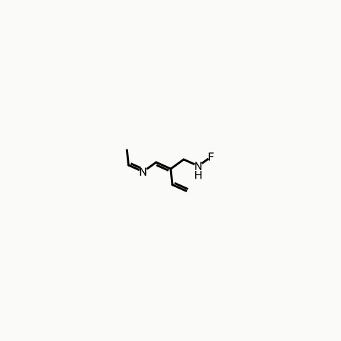 C=C/C(=C\N=C/C)CNF